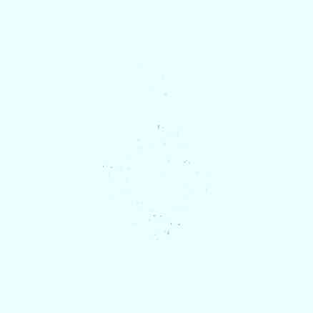 CO[C@H]1/C=C\C=C(/C)C(=O)NC2=CC(=O)C(NCCCCCC(=O)O)=C(C[C@@H](C)C[C@H](OC)[C@@H](O)[C@@H](C)/C=C(\C)[C@@H]1OC(N)=O)C2=O